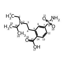 CCN(CCc1cc(S(N)(=O)=O)ccc1C(=O)O)C(C)C